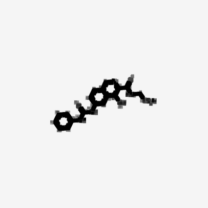 O=C(O)CNC(=O)c1ncc2ccc(NC(=O)Nc3ccccc3)cc2c1O